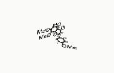 COc1ccc(-c2cc(=O)c3c(O)cc(OC)c(OC)c3o2)cc1